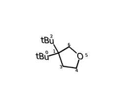 CC(C)(C)C1(C(C)(C)C)CCOC1